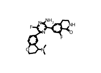 CN(C)C1CCOc2ccc(-c3nc(-c4cc(F)c5c(c4)CCNC5=O)c(N)nc3F)cc21